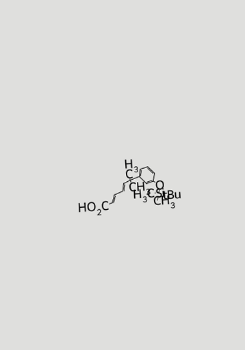 CC(C)(C=CC=CC(=O)O)c1cccc(O[Si](C)(C)C(C)(C)C)c1